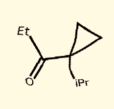 CCC(=O)C1(C(C)C)CC1